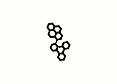 c1cc2ccc3ccc(-c4cccc5c6ccccc6c6ccccc6c45)c4ccc(c1)c2c34